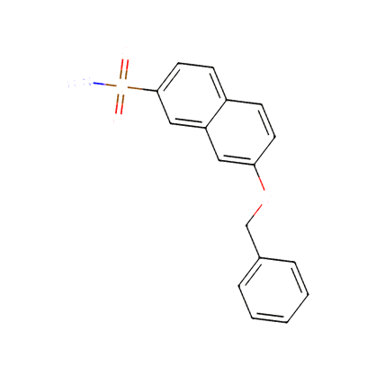 NS(=O)(=O)c1ccc2ccc(OCc3ccccc3)cc2c1